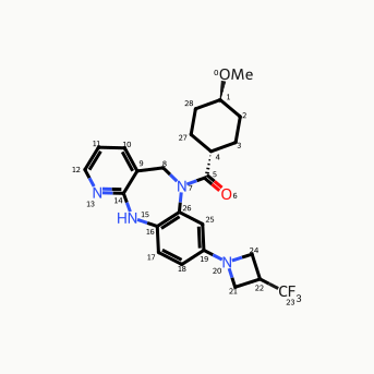 CO[C@H]1CC[C@H](C(=O)N2Cc3cccnc3Nc3ccc(N4CC(C(F)(F)F)C4)cc32)CC1